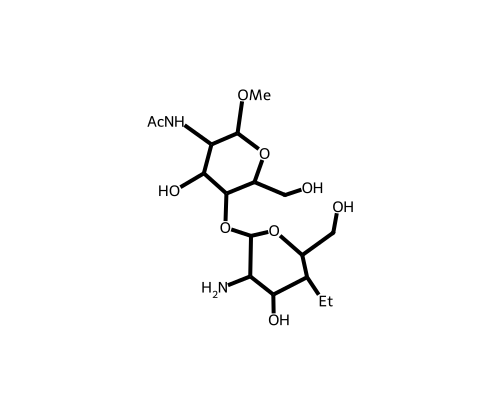 CCC1C(CO)OC(OC2C(CO)OC(OC)C(NC(C)=O)C2O)C(N)C1O